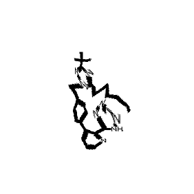 CCCCCc1nc(C(C)(C)C)nn1Cc1ccc(-c2cccnc2-c2nnn[nH]2)cc1